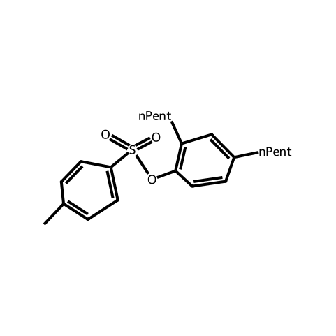 CCCCCc1ccc(OS(=O)(=O)c2ccc(C)cc2)c(CCCCC)c1